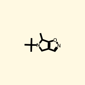 CC1c2oncc2CN1C(C)(C)C